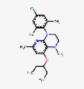 CCC(CC)Oc1cc(C)nc2c1N(C)CCN2c1c(C)cc(Cl)cc1C